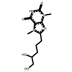 Cn1c(CCCC(O)CO)nc2c1c(=O)[nH]c(=O)n2C